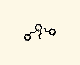 CCCN1[C@@H](CCc2ccccc2)CCC[C@H]1CCc1ccccc1